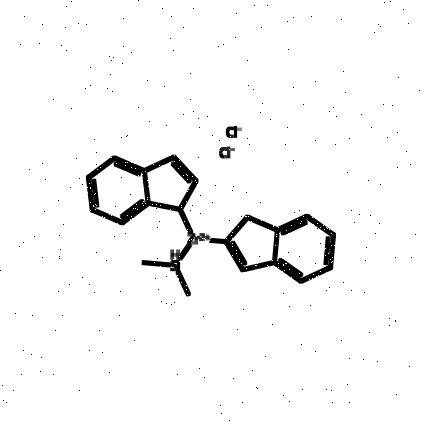 C[SiH](C)[Zr+2]([C]1=Cc2ccccc2C1)[CH]1C=Cc2ccccc21.[Cl-].[Cl-]